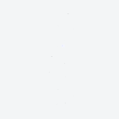 Fc1ccc2c(c1)C=C/C2=C\c1cccc(CCc2ccccc2)c1